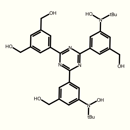 CC(C)(C)N(O)c1cc(CO)cc(-c2nc(-c3cc(CO)cc(CO)c3)nc(-c3cc(CO)cc(N(O)C(C)(C)C)c3)n2)c1